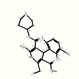 COC(=O)C1=C(CF)NC(C)=C(C(=O)OC2CCOCC2)C1c1c(F)ccc(Cl)c1C(F)(F)F